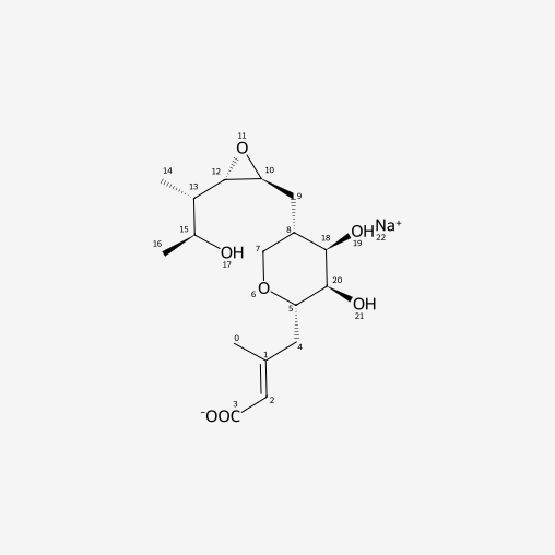 C/C(=C\C(=O)[O-])C[C@@H]1OC[C@H](C[C@@H]2O[C@H]2[C@@H](C)[C@H](C)O)[C@@H](O)[C@H]1O.[Na+]